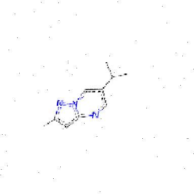 Cc1cc2ncc(C(C)C)cn2n1